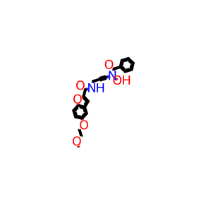 COCCOc1ccc2oc(C(=O)NCC#CN(O)C(=O)c3ccccc3)cc2c1